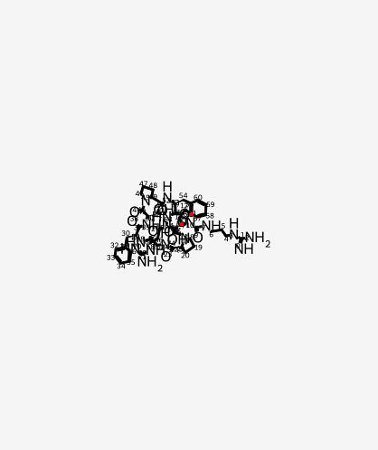 N=C(N)NCCCNC(=O)N1CCC[C@H]1C(=O)N1CCC[C@H]1C(=O)NCC(=O)N[C@@H](Cc1ccccc1)C(=O)N[C@@H](CO)C(=O)N1CCCC1C(=O)N[C@@H](Cc1ccccc1)C(=O)NN(CCCNC(=N)N)C(=O)O